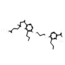 CCCc1c(OCCCOc2ccc3c(c2CCC)OC(C)(CCC(N)=O)CC3=O)ccc(C(C)=O)c1O